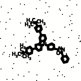 CC(C)(C)c1ccc(-c2ccc3c(c2)c2cc(-c4ccc(C(C)(C)C)cc4)ccc2n3-c2ccc(-c3nnc(-c4ccccc4)o3)cc2)cc1